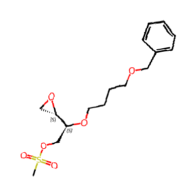 CS(=O)(=O)OC[C@H](OCCCCOCc1ccccc1)[C@@H]1CO1